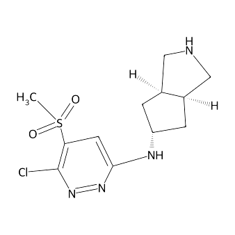 CS(=O)(=O)c1cc(N[C@@H]2C[C@H]3CNC[C@H]3C2)nnc1Cl